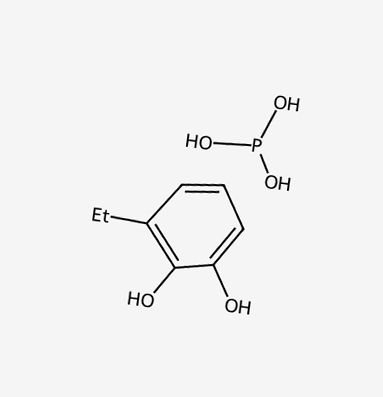 CCc1cccc(O)c1O.OP(O)O